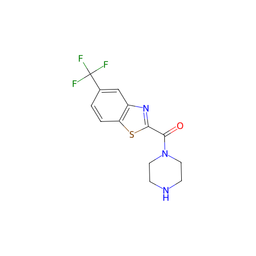 O=C(c1nc2cc(C(F)(F)F)ccc2s1)N1CCNCC1